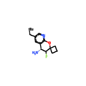 CC(C)(C)Cc1cnc2c(c1)[C@@H](N)C(F)C1(CCC1)O2